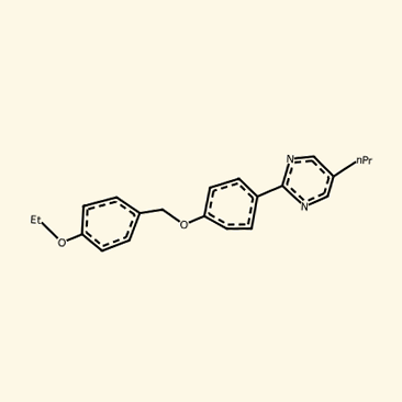 CCCc1cnc(-c2ccc(OCc3ccc(OCC)cc3)cc2)nc1